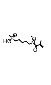 C=C(C)C(=O)N(CCCCCP(C)(=O)O)OC